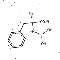 [2H][C@@](Cc1ccccc1)(NB(O)O)C(=O)O